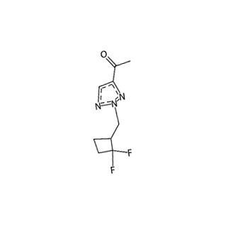 CC(=O)c1cnn(CC2CCC2(F)F)n1